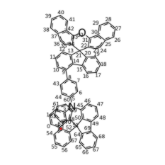 c1ccc(N(c2ccc(-c3cccc4c3-c3ccccc3C43c4ccc5ccccc5c4Oc4c3ccc3ccccc43)cc2)c2cccc3c2C(c2ccccc2)(c2ccccc2)c2ccccc2-3)cc1